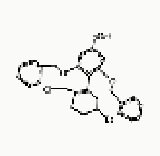 CCCCCCCCc1cc(OCc2ccccc2)c(C2=C(CCl)CCC(CC)C2)c(OCc2ccccc2)c1